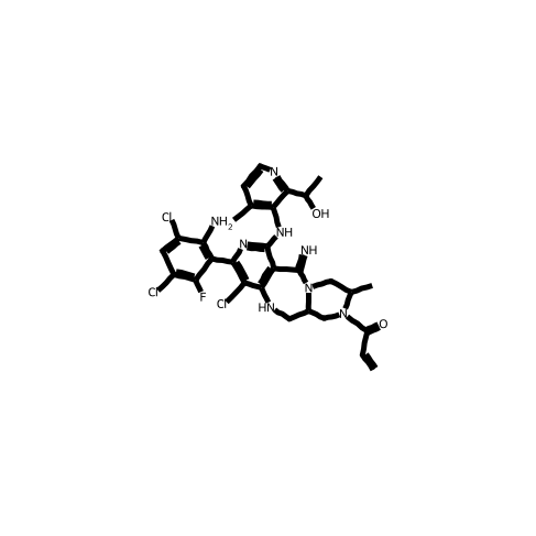 C=CC(=O)N1CC2CNc3c(Cl)c(-c4c(N)c(Cl)cc(Cl)c4F)nc(Nc4c(C)ccnc4C(C)O)c3C(=N)N2CC1C